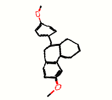 COc1ccc(C2Cc3ccc(OC)cc3C3CCCCC23)cc1